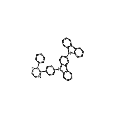 c1ccc(-c2nccnc2-c2ccc(-n3c4ccccc4c4cc(-n5c6ccccc6c6ccccc65)ccc43)cc2)cc1